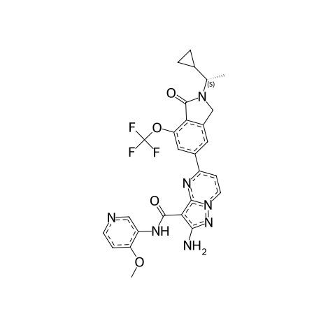 COc1ccncc1NC(=O)c1c(N)nn2ccc(-c3cc4c(c(OC(F)(F)F)c3)C(=O)N([C@@H](C)C3CC3)C4)nc12